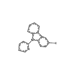 Ic1ccc2c(c1)c1ccccc1n2-c1ccccn1